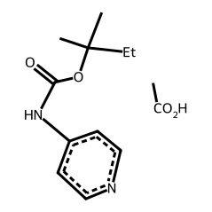 CC(=O)O.CCC(C)(C)OC(=O)Nc1ccncc1